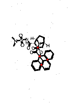 CN(C)S(=O)(=O)NC(=O)[C@@H]1[C@H]2CC[C@@H](CN1C(=O)C(c1ccccc1)c1ccccc1)N2C(=O)OCc1ccccc1